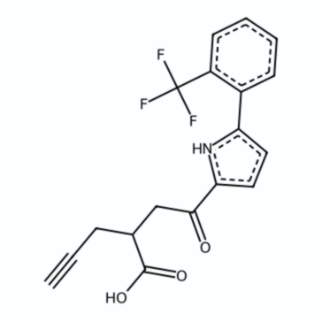 C#CCC(CC(=O)c1ccc(-c2ccccc2C(F)(F)F)[nH]1)C(=O)O